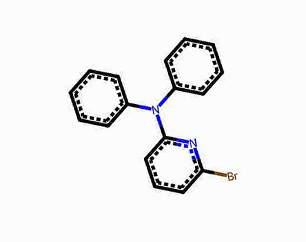 Brc1cccc(N(c2ccccc2)c2ccccc2)n1